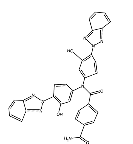 NC(=O)c1ccc(C(=O)N(c2ccc(-n3nc4ccccc4n3)c(O)c2)c2ccc(-n3nc4ccccc4n3)c(O)c2)cc1